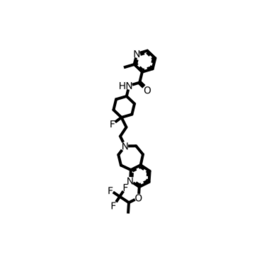 Cc1ncccc1C(=O)NC1CCC(F)(CCN2CCc3ccc(OC(C)C(F)(F)F)nc3CC2)CC1